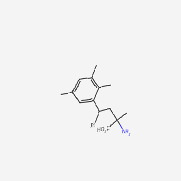 CCC(CC(C)(N)C(=O)O)c1cc(C)cc(C)c1C